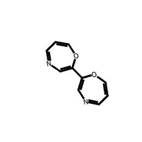 C1=COC(C2=CN=CC=CO2)=CN=C1